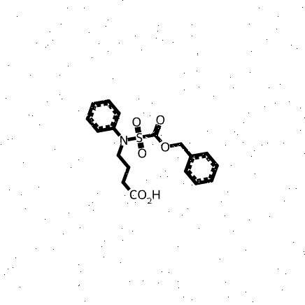 O=C(O)CCCN(c1ccccc1)S(=O)(=O)C(=O)OCc1ccccc1